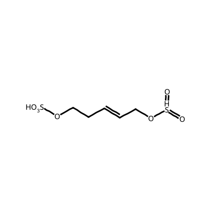 O=[SH](=O)OC/C=C/CCOS(=O)(=O)O